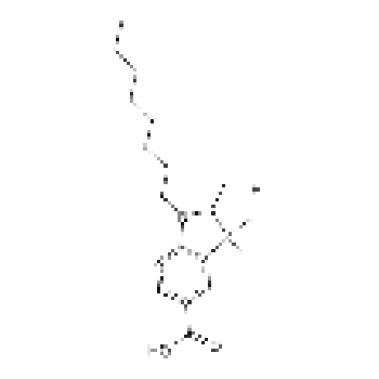 CCCCCCCCN1c2ccc(C(=O)O)cc2C(C)(C)C1C.I